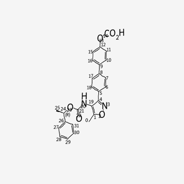 Cc1onc(-c2ccc(-c3ccc(OC(=O)O)cc3)cc2)c1NC(=O)O[C@H](C)c1ccccc1